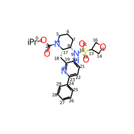 CC(C)OC(=O)N1CCC[C@H](NS(=O)(=O)C2COC2)[C@@H]1Cc1cccc(-c2ccccc2)n1